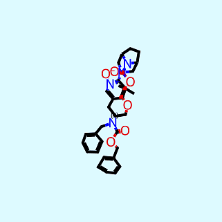 CC(C)(C)OC(=O)N1C2CCC1CN(c1cc3c(c[n+]1[O-])C[C@@H](N(Cc1ccccc1)C(=O)OCc1ccccc1)CO3)C2